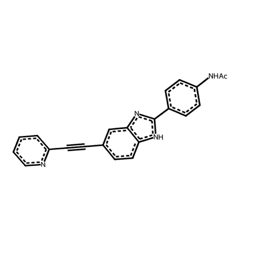 CC(=O)Nc1ccc(-c2nc3cc(C#Cc4ccccn4)ccc3[nH]2)cc1